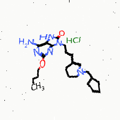 CCCCOc1nc(N)c2[nH]c(=O)n(CCCC3CCCN(CC4CCCC4)C3)c2n1.Cl